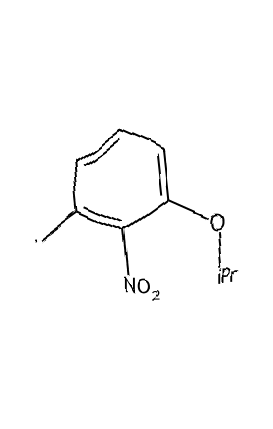 [CH2]c1cccc(OC(C)C)c1[N+](=O)[O-]